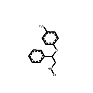 CCNCC(Oc1ccc(C(F)(F)F)cc1)c1ccccc1